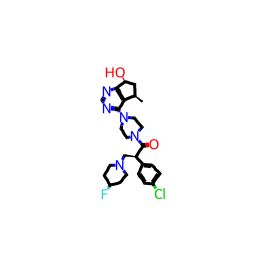 C[C@@H]1C[C@@H](O)c2ncnc(N3CCN(C(=O)[C@H](CN4CCC(F)CC4)c4ccc(Cl)cc4)CC3)c21